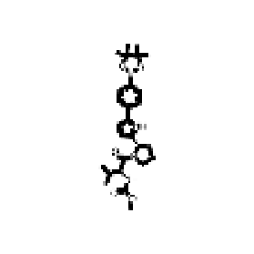 COC(=O)N[C@H](C(=O)N1CCC[C@@H]1c1ccc(-c2ccc(B3OC(C)(C)C(C)(C)O3)cc2)[nH]1)C(C)C